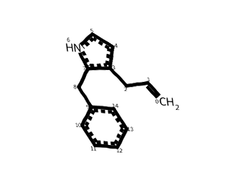 C=CCc1cc[nH]c1Cc1ccccc1